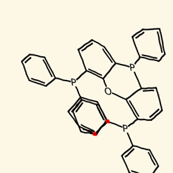 c1ccc(P(c2ccccc2)c2cccc3c2Oc2c(P(c4ccccc4)c4ccccc4)cccc2P3c2ccccc2)cc1